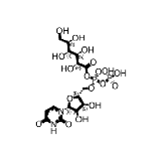 O=C(OP(=O)(OC[C@H]1O[C@@H](n2ccc(=O)[nH]c2=O)[C@H](O)[C@@H]1O)OP(=O)(O)O)[C@H](O)[C@@H](O)[C@H](O)[C@H](O)CO